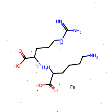 N=C(N)NCCCC(N)C(=O)O.NCCCCC(N)C(=O)O.[Fe]